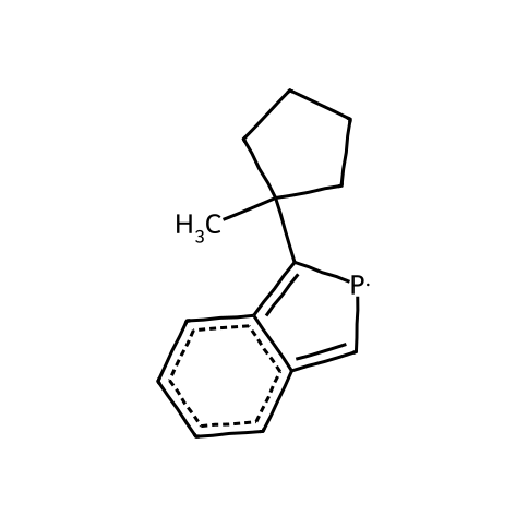 CC1(C2=c3ccccc3=C[P]2)CCCC1